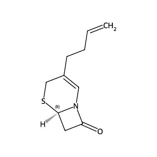 C=CCCC1=CN2C(=O)C[C@H]2SC1